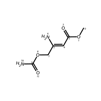 COC(=O)C=C(N)COC(N)=O